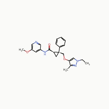 CCn1cc(OC[C@@]2(c3ccccc3)C[C@H]2C(=O)Nc2cncc(OC)c2)c(C)n1